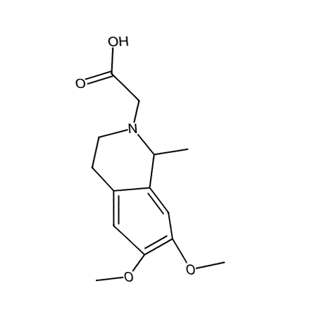 COc1cc2c(cc1OC)C(C)N(CC(=O)O)CC2